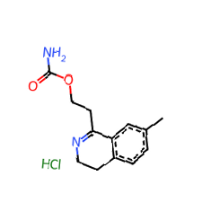 Cc1ccc2c(c1)C(CCOC(N)=O)=NCC2.Cl